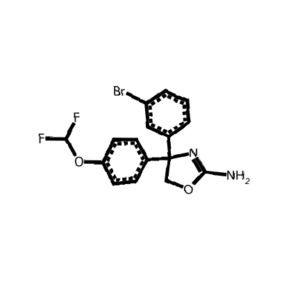 NC1=NC(c2ccc(OC(F)F)cc2)(c2cccc(Br)c2)CO1